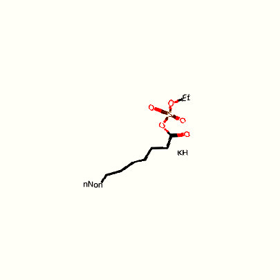 CCCCCCCCCCCCCCCC(=O)OS(=O)(=O)OCC.[KH]